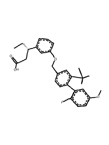 CC[C@@H](CC(=O)O)c1cccc(OCc2ccc(-c3cc(OC)ccc3F)c(C(C)(C)C)c2)c1